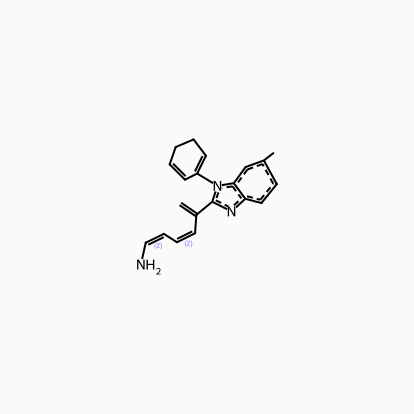 C=C(/C=C\C=C/N)c1nc2ccc(C)cc2n1C1=CCCC=C1